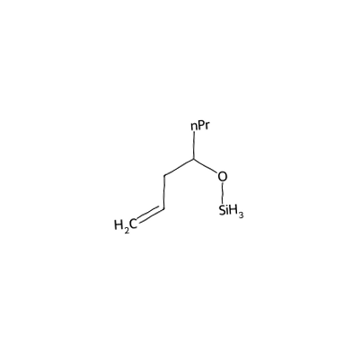 C=CCC(CCC)O[SiH3]